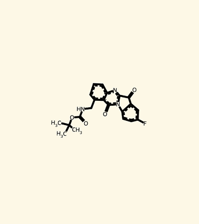 CC(C)(C)OC(=O)NCc1cccc2nc3n(c(=O)c12)-c1ccc(F)cc1C3=O